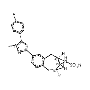 Cn1nc(-c2ccc3c(c2)C[C@H]2CC[C@@H](C3)[C@H]2NS(=O)(=O)O)cc1-c1ccc(F)cc1